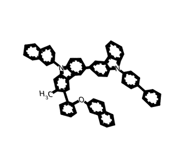 Cc1cc2c(cc1-c1ccccc1Oc1ccc3ccccc3c1)c1cc(-c3ccc4c(c3)c3ccccc3n4-c3ccc(-c4ccccc4)cc3)ccc1n2-c1ccc2ccccc2c1